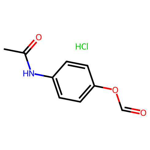 CC(=O)Nc1ccc(OC=O)cc1.Cl